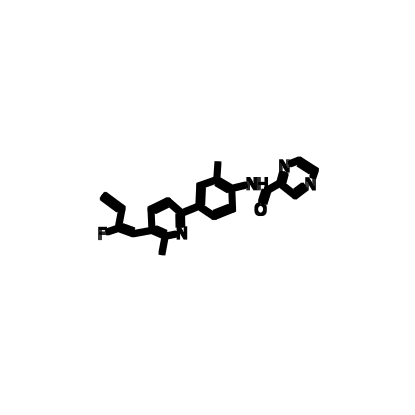 C=C/C(F)=C\c1ccc(-c2ccc(NC(=O)c3cnccn3)c(C)c2)nc1C